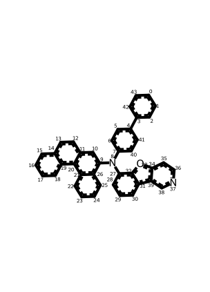 c1ccc(-c2ccc(N(c3cc4ccc5ccccc5c4c4ccccc34)c3cccc4c3oc3ccncc34)cc2)cc1